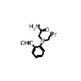 CC(C)CN(CC(N)=O)c1ccccc1C=O